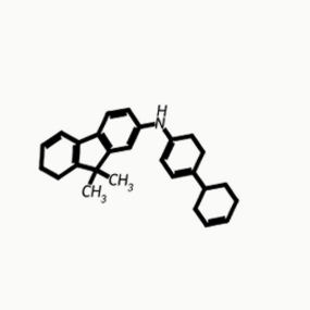 CC1(C)C2=C(C=CCC2)c2ccc(NC3=CC=C(C4CC=CCC4)CC3)cc21